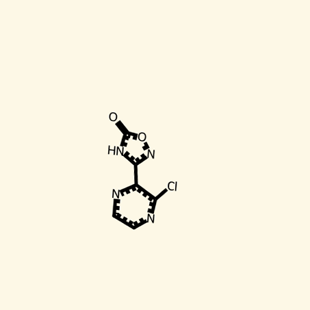 O=c1[nH]c(-c2nccnc2Cl)no1